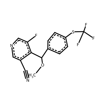 COC(c1ccc(SC(F)(F)F)cc1)c1c(F)cncc1C#N